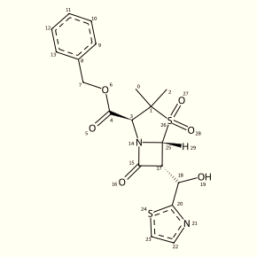 CC1(C)[C@H](C(=O)OCc2ccccc2)N2C(=O)[C@@H](C(O)c3nccs3)[C@H]2S1(=O)=O